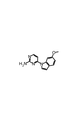 COc1ccc2ccn(-c3ccnc(N)n3)c2c1